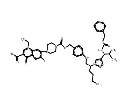 CCn1cc(C(=O)O)c(=O)c2cc(F)c(N3CCN(C(=O)OCc4ccc(NC[C@H](CCCN)n5cc([C@@H](NC(=O)OCc6ccccc6)C(C)C)nn5)cc4)CC3)cc21